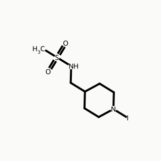 CS(=O)(=O)NCC1CCN(I)CC1